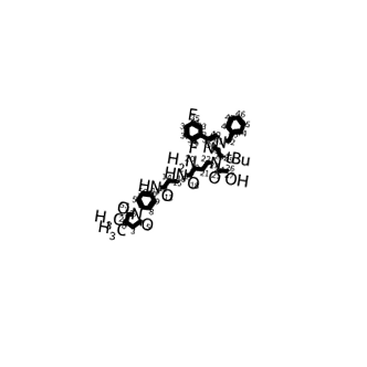 CC1(C)CC(=O)N(c2ccc(NC(=O)CCNC(=O)[C@@H](N)CCN(C(=O)CO)[C@@H](c3nc(-c4cc(F)ccc4F)cn3Cc3ccccc3)C(C)(C)C)cc2)C1=O